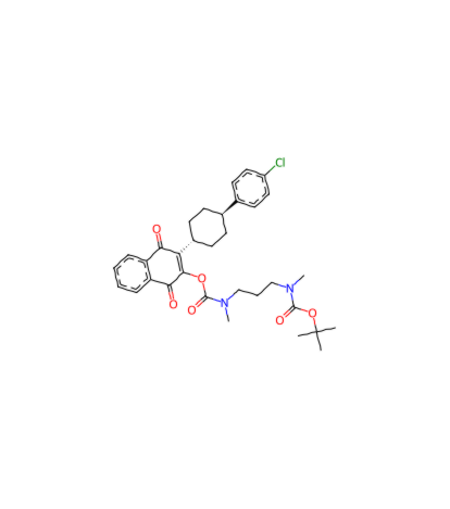 CN(CCCN(C)C(=O)OC(C)(C)C)C(=O)OC1=C([C@H]2CC[C@H](c3ccc(Cl)cc3)CC2)C(=O)c2ccccc2C1=O